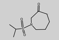 CC(C)S(=O)(=O)N1CCC[CH]C(=O)C1